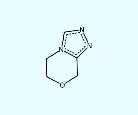 [c]1nnc2n1CCOC2